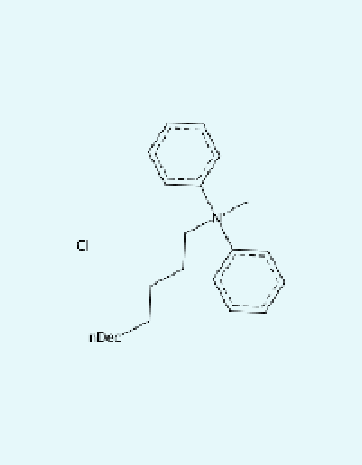 CCCCCCCCCCCCCC[N+](C)(c1ccccc1)c1ccccc1.[Cl-]